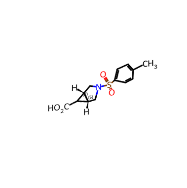 Cc1ccc(S(=O)(=O)N2C[C@@H]3C(C(=O)O)[C@@H]3C2)cc1